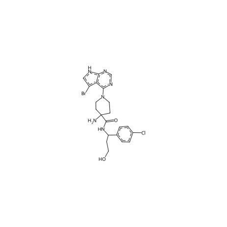 NC1(C(=O)NC(CCO)c2ccc(Cl)cc2)CCN(c2ncnc3[nH]cc(Br)c23)CC1